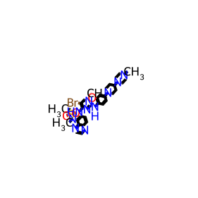 CCS(=O)(=O)N(C)c1c(Nc2nc(Nc3ccc(N4CCC(N5CCN(C)CC5)CC4)cc3OC)ncc2Br)ccc2nccnc12